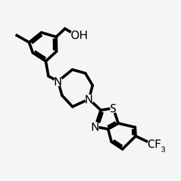 Cc1cc(CO)cc(CN2CCCN(c3nc4ccc(C(F)(F)F)cc4s3)CC2)c1